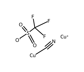 N#[C][Cu].O=S(=O)([O-])C(F)(F)F.[Cu+]